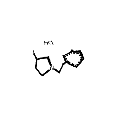 Cl.IC1CCN(Cc2ccccc2)C1